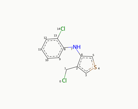 ClCc1cscc1Nc1ccccc1Cl